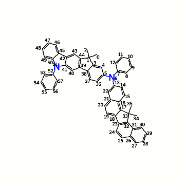 CC1(C)c2cc(N(c3ccccc3)c3ccc4c5c(ccc4c3)-c3ccc4ccccc4c3C5(C)C)ccc2-c2cc3c(cc21)c1ccccc1n3-c1ccccc1